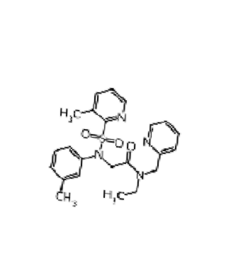 CCN(Cc1ccccn1)C(=O)CN(c1cccc(C)c1)S(=O)(=O)c1ncccc1C